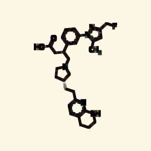 Cc1cc(CF)nn1-c1cccc(C(CC(=O)O)CN2CC[C@@H](CCc3ccc4c(n3)NCCC4)C2)c1